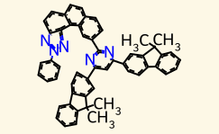 CC1(C)c2ccccc2-c2ccc(-c3cc(-c4ccc5c(c4)C(C)(C)c4ccccc4-5)nc(-c4ccc5ccc6ccc7nn(-c8ccccc8)nc7c6c5c4)n3)cc21